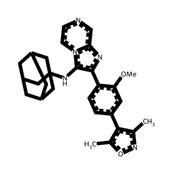 COc1cc(-c2c(C)noc2C)ccc1-c1nc2cnccn2c1NC12CC3CC(CC(C3)C1)C2